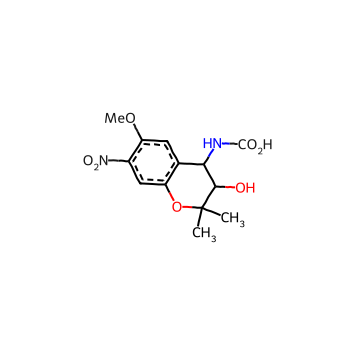 COc1cc2c(cc1[N+](=O)[O-])OC(C)(C)C(O)C2NC(=O)O